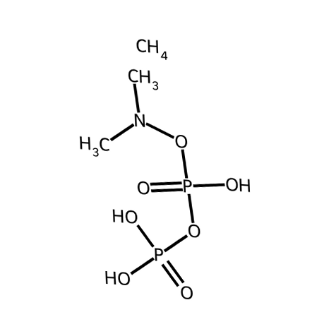 C.CN(C)OP(=O)(O)OP(=O)(O)O